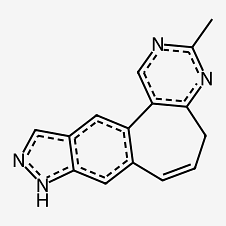 Cc1ncc2c(n1)CC=Cc1cc3[nH]ncc3cc1-2